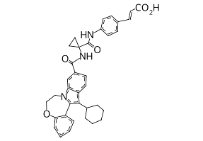 O=C(O)C=Cc1ccc(NC(=O)C2(NC(=O)c3ccc4c(C5CCCCC5)c5n(c4c3)CCOc3ccccc3-5)CC2)cc1